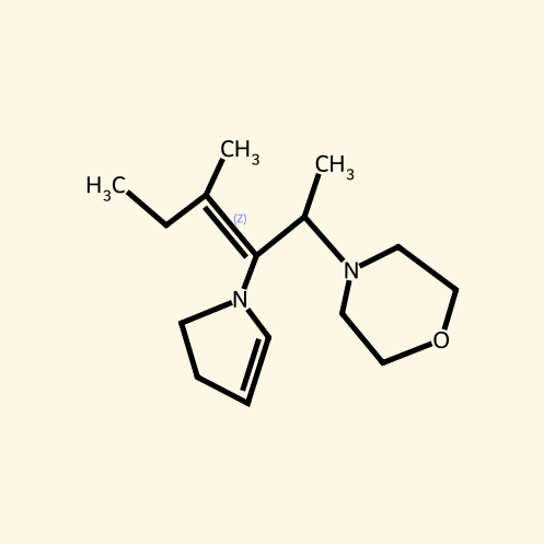 CC/C(C)=C(/C(C)N1CCOCC1)N1C=CCC1